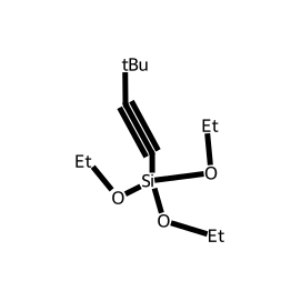 CCO[Si](C#CC(C)(C)C)(OCC)OCC